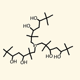 CC(C)(C)C(O)CC(O)C(C)(C)[CH2][In]([CH2]C(C)(C)C(O)CC(O)C(C)(C)C)[CH2]C(C)(C)C(O)CC(O)C(C)(C)C